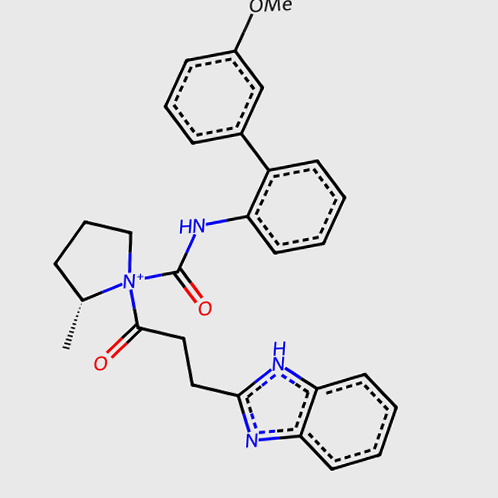 COc1cccc(-c2ccccc2NC(=O)[N+]2(C(=O)CCc3nc4ccccc4[nH]3)CCC[C@H]2C)c1